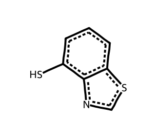 Sc1cccc2scnc12